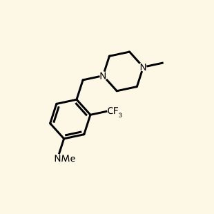 CNc1ccc(CN2CCN(C)CC2)c(C(F)(F)F)c1